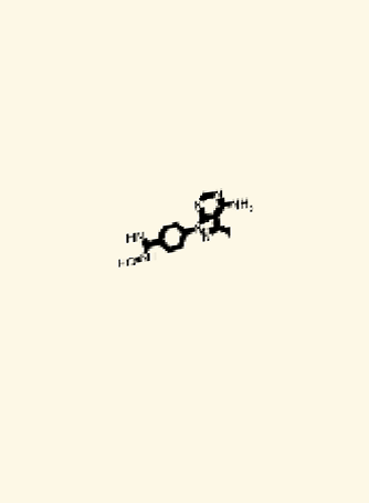 N=C(NO)C1CCC(n2nc(I)c3c(N)ncnc32)CC1